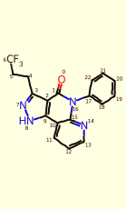 O=c1c2c(CCC(F)(F)F)n[nH]c2c2cccnc2n1-c1ccccc1